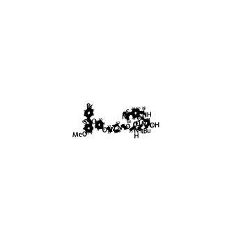 COc1ccc2c(Oc3ccc(OCCN4CCN(CCOCC(=O)NC(C(=O)N5C[C@H](O)C[C@H]5C(=O)N[C@@H](C)c5ccc(-c6scnc6C)cc5)C(C)(C)C)CC4)cc3)c(-c3ccc(Br)cc3)sc2c1